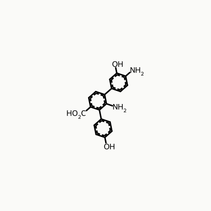 Nc1ccc(-c2ccc(C(=O)O)c(-c3ccc(O)cc3)c2N)cc1O